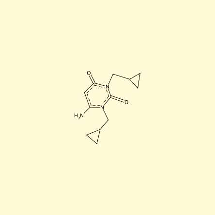 Nc1cc(=O)n(CC2CC2)c(=O)n1CC1CC1